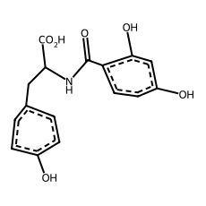 O=C(NC(Cc1ccc(O)cc1)C(=O)O)c1ccc(O)cc1O